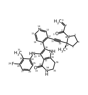 C=CC(=O)N1CCC[C@]1(C)C#Cc1cnccc1-c1[nH]c2c(c1Nc1cccc(F)c1C)C(=O)NCC2